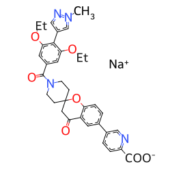 CCOc1cc(C(=O)N2CCC3(CC2)CC(=O)c2cc(-c4ccc(C(=O)[O-])nc4)ccc2O3)cc(OCC)c1-c1cnn(C)c1.[Na+]